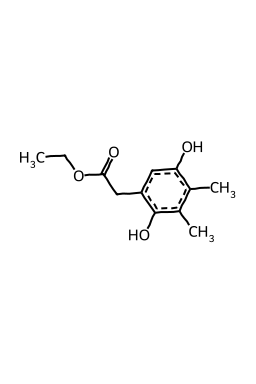 CCOC(=O)Cc1cc(O)c(C)c(C)c1O